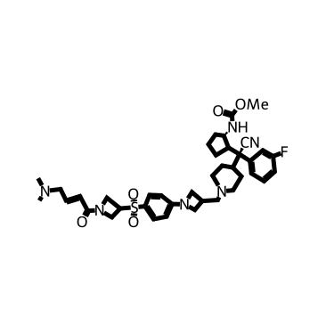 COC(=O)N[C@H]1CCCC1[C@](C#N)(c1cccc(F)c1)C1CCN(CC2CN(c3ccc(S(=O)(=O)C4CN(C(=O)/C=C/CN(C)C)C4)cc3)C2)CC1